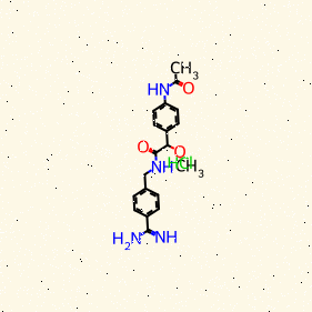 COC(C(=O)NCc1ccc(C(=N)N)cc1)c1ccc(NC(C)=O)cc1.Cl